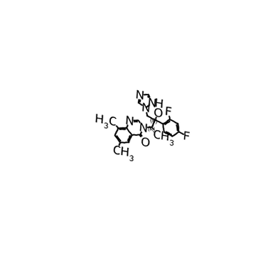 Cc1cc(C)c2ncn([C@H](C)[C@](O)(Cn3cncn3)c3ccc(F)cc3F)c(=O)c2c1